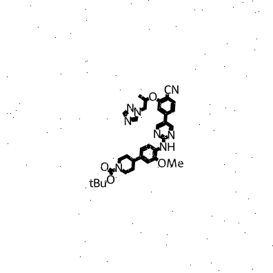 COc1cc(C2CCN(C(=O)OC(C)(C)C)CC2)ccc1Nc1ncc(-c2ccc(C#N)c(OC(C)Cn3cncn3)c2)cn1